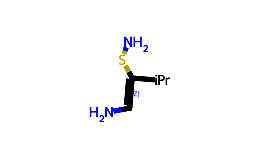 CC(C)/C(=C/N)SN